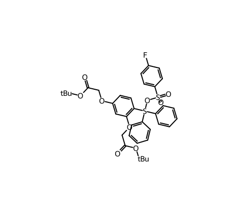 CC(C)(C)OC(=O)COc1ccc(S(OS(=O)(=O)c2ccc(F)cc2)(c2ccccc2)c2ccccc2)c(OCC(=O)OC(C)(C)C)c1